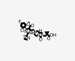 COC(=O)C1=C(CN2CCN3C(=O)N(CC4(C(=O)O)CC4)C[C@@H]3C2)NC(c2nccs2)=N[C@@H]1c1ccc(F)cc1Cl